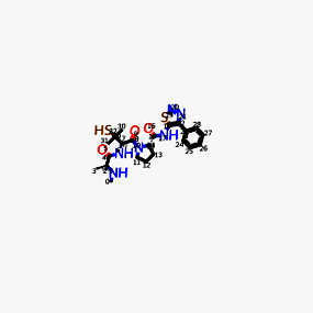 CN[C@@H](C)C(=O)N[C@H](C(=O)N1CCC[C@H]1C(=O)Nc1snnc1-c1ccccc1)C(C)(C)S